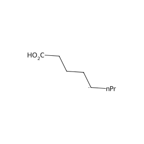 CCC[CH]CCCC(=O)O